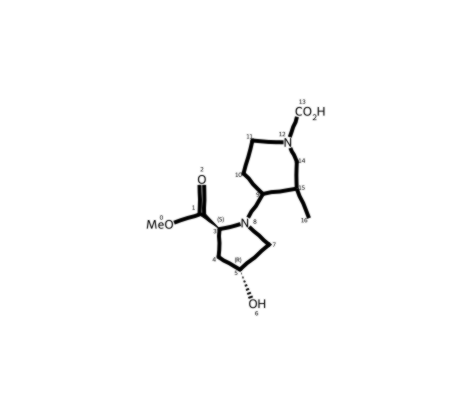 COC(=O)[C@@H]1C[C@@H](O)CN1C1CCN(C(=O)O)CC1C